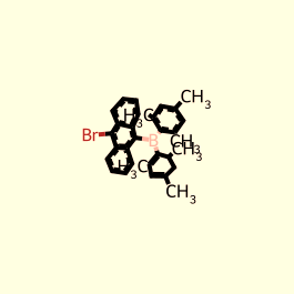 CC1=CC(C)=C(B(c2c(C)cc(C)cc2C)c2c3ccccc3c(Br)c3ccccc23)C(C)C1